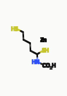 O=C(O)NC(S)CCCCS.[Zn]